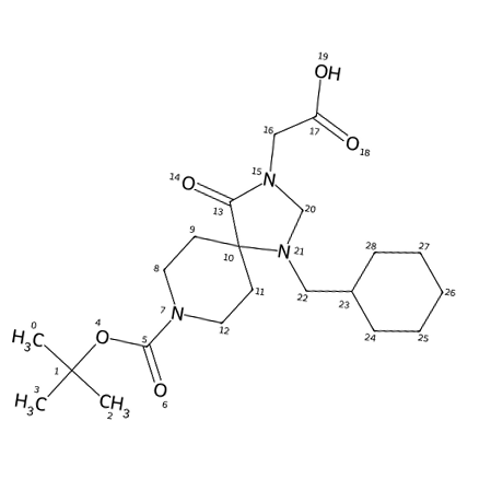 CC(C)(C)OC(=O)N1CCC2(CC1)C(=O)N(CC(=O)O)CN2CC1CCCCC1